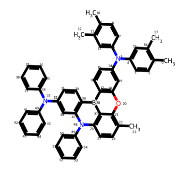 Cc1ccc(N(c2ccc(C)c(C)c2)c2ccc3c(c2)Oc2c(C)ccc4c2B3c2ccc(N(c3ccccc3)c3ccccc3)cc2N4c2ccccc2)cc1C